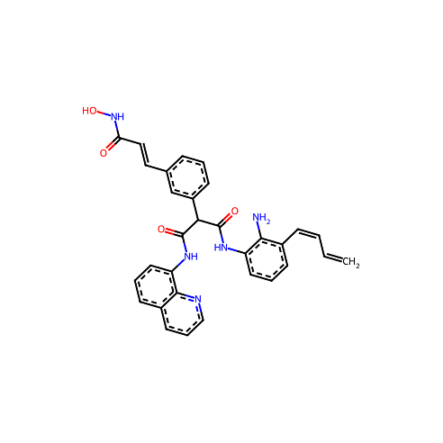 C=C/C=C\c1cccc(NC(=O)C(C(=O)Nc2cccc3cccnc23)c2cccc(/C=C/C(=O)NO)c2)c1N